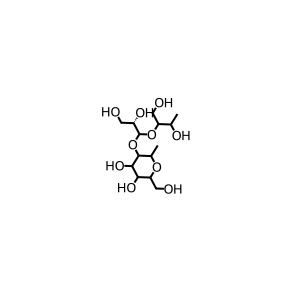 CC(O)C(CO)OC(OC1C(C)OC(CO)C(O)C1O)[C@@H](O)CO